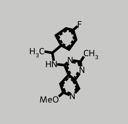 COc1cc2c(NC(C)c3ccc(F)cc3)nc(C)nc2cn1